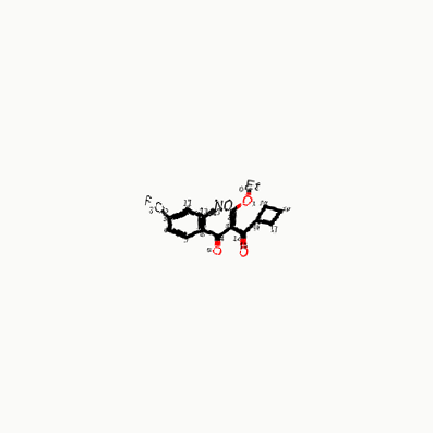 CCOC=C(C(=O)c1ccc(C(F)(F)F)cc1[N+](=O)[O-])C(=O)C1CCC1